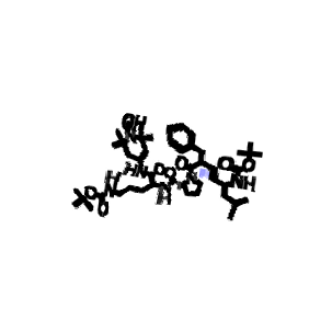 CC(C)CC(/C=C/C(Cc1ccccc1)C(=O)N1CCC[C@@H]1C(=O)NC(CCCNC(=O)OC(C)(C)C)C(=O)NC1CC(C)(C)N(O)C(C)(C)C1)NC(=O)OC(C)(C)C